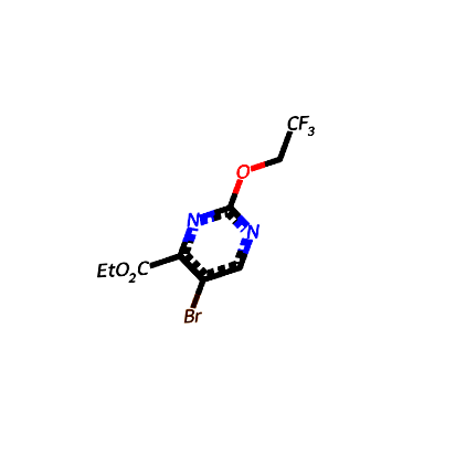 CCOC(=O)c1nc(OCC(F)(F)F)ncc1Br